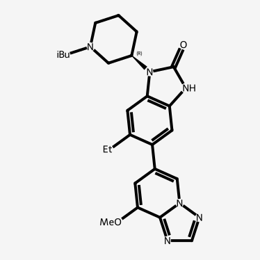 CCc1cc2c(cc1-c1cc(OC)c3ncnn3c1)[nH]c(=O)n2[C@@H]1CCCN(C(C)CC)C1